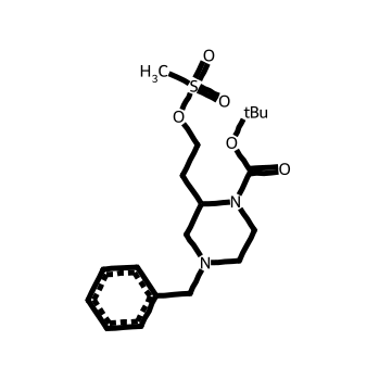 CC(C)(C)OC(=O)N1CCN(Cc2ccccc2)CC1CCOS(C)(=O)=O